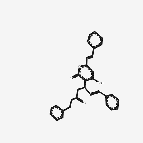 O=C(CCc1ccccc1)CC(/C=C/c1ccccc1)c1c(O)cc(/C=C/c2ccccc2)oc1=O